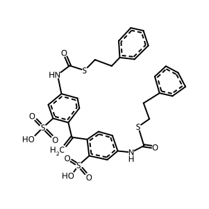 C=C(c1ccc(NC(=O)SCCc2ccccc2)cc1S(=O)(=O)O)c1ccc(NC(=O)SCCc2ccccc2)cc1S(=O)(=O)O